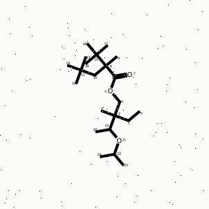 CCC(C)(COC(=O)C(C)(CC(C)(C)C)C(C)(C)C)C(C)OC(C)C